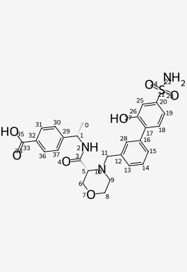 C[C@H](NC(=O)[C@H]1COCCN1Cc1cccc(-c2ccc(S(N)(=O)=O)cc2O)c1)c1ccc(C(=O)O)cc1